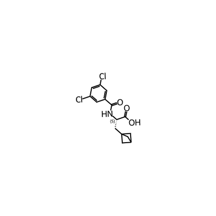 O=C(N[C@@H](CC12CC(C1)C2)C(=O)O)c1cc(Cl)cc(Cl)c1